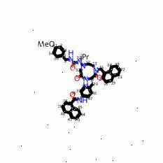 COc1ccc(CNC(=O)N(C(C)C)N2CCN(Cc3cccc4ccccc34)C(=O)[C@H](Cc3ccc(NC(=O)c4cccc5ccccc45)cc3)NC(=O)C2)cc1